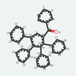 O=C(c1ccccc1)c1cc(-c2ccccc2)c(-c2ccccc2)c(-c2ccccc2)c1-c1ccccc1